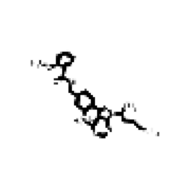 CCCCC(C)n1nc(-c2ccc(CNC(=O)c3ccccc3OC)cc2C)c2c(N)ncnc21